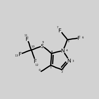 Cc1[c]nn(C(F)F)c1SC(F)(F)F